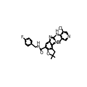 CC1(C)Cc2c(c(C(=O)NCc3ccc(F)cc3)cc3nc(Nc4c(Cl)cncc4Cl)[nH]c23)O1